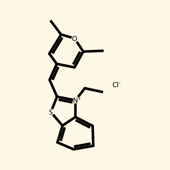 CC[n+]1c(C=C2C=C(C)OC(C)=C2)sc2ccccc21.[Cl-]